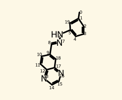 Cc1cccc(NN=Cc2ccc3nccnc3c2)c1